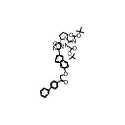 CC(C)(C)OC(=O)/N=C(/NC(=O)OC(C)(C)C)N1CCC[C@H]1c1nc(-c2ccc3cc(OCC(=O)c4ccc(-c5ccccc5)cc4)ccc3c2)no1